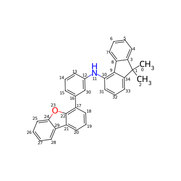 CC1(C)c2ccccc2-c2c(Nc3cccc(-c4cccc5c4oc4ccccc45)c3)cccc21